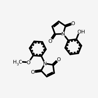 COc1ccccc1N1C(=O)C=CC1=O.O=C1C=CC(=O)N1c1ccccc1O